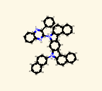 c1ccc(-c2nc3ccccc3nc2-n2c3cc4c(cc3c3c5ccccc5ccc32)c2c3ccccc3ccc2n4-c2ccc3ccccc3c2)cc1